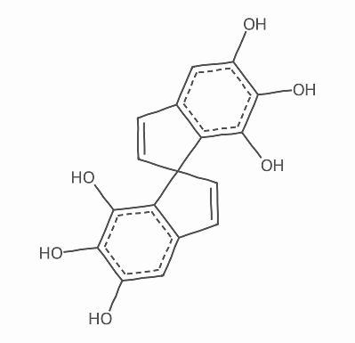 Oc1cc2c(c(O)c1O)C1(C=C2)C=Cc2cc(O)c(O)c(O)c21